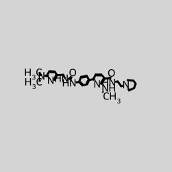 CCNc1nc(-c2ccc(NC(=O)NCc3ccc(N(C)C)nc3)cc2)ccc1C(=O)NCCN1CCCCC1